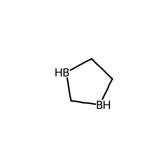 B1CBCC1